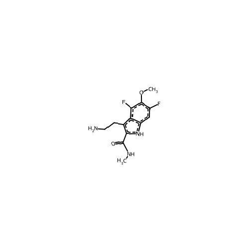 CNC(=O)c1[nH]c2cc(F)c(OC)c(F)c2c1CCN